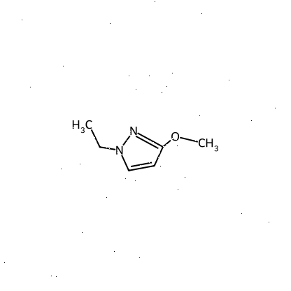 CCn1ccc(OC)n1